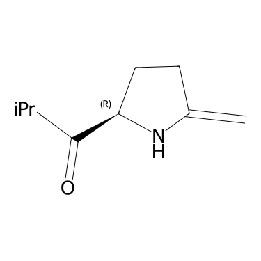 C=C1CC[C@H](C(=O)C(C)C)N1